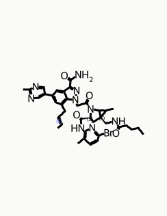 C/C=C/Cc1cc(-c2cnc(C)nc2)cc2c(C(N)=O)nn(CC(=O)N3C4C(C)[C@]4(CNC(=O)CCCC)C[C@H]3C(=O)Nc3nc(Br)ccc3C)c12